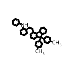 Cc1ccc(C2(c3ccc(C)cc3)c3ccccc3-c3c(/C=C\c4ccccc4Nc4ccccc4)cccc32)cc1